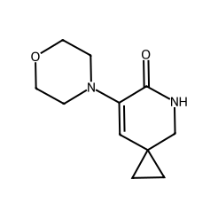 O=C1NCC2(C=C1N1CCOCC1)CC2